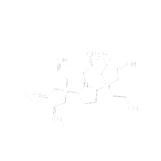 C=CCN1C([Si](CC=C)(CC=C)CC=C)CCC1[Si](CC=C)(CC=C)CC=C